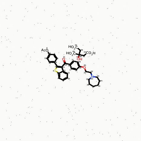 CC(=O)Oc1ccc(-c2sc3ccccc3c2C(=O)c2ccc(OCCN3CCCCCC3)cc2)cc1.O=C(O)CC(O)(CC(=O)O)C(=O)O